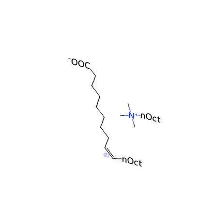 CCCCCCCC/C=C\CCCCCCCC(=O)[O-].CCCCCCCC[N+](C)(C)C